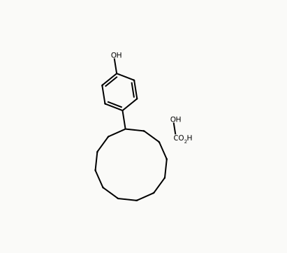 O=C(O)O.Oc1ccc(C2CCCCCCCCCCC2)cc1